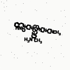 Cc1cc(C[C@@H](OC(=O)N2CCC(N3CCc4ccccc4NC3=O)CC2)C(=O)N2CCN(C3CCN(C)CC3)CC2)ncc1N